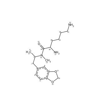 CC(Cc1ccc2c(c1)OCO2)N(C)C(=O)C(N)CCCCN